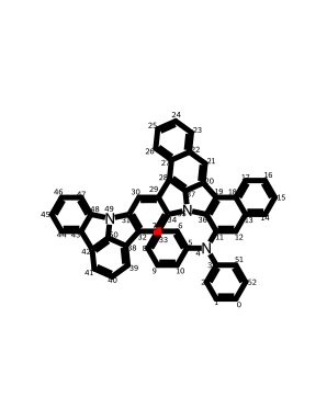 c1ccc(N(c2ccccc2)c2cc3ccccc3c3c4cc5ccccc5c5c6cc7c(cc6n(c23)c45)c2cccc3c4ccccc4n7c32)cc1